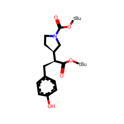 CC(C)(C)OC(=O)[C@@H](Cc1ccc(O)cc1)[C@H]1CCN(C(=O)OC(C)(C)C)C1